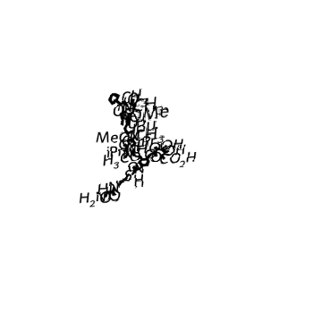 CC[C@H](C)[C@@H]([C@@H](CC(=O)N1CCC[C@H]1[C@H](OC)[C@@H](C)C(=O)N[C@H](C)[C@@H](O)c1ccccc1)OC)N(C)C(=O)[C@@H](NC(=O)[C@H](C(C)C)N(C)C(=O)OCc1cc(NC(=O)CSCCCNC(=O)CON)ccc1OC1OC(C(=O)O)C(O)C(O)C1O)C(C)C